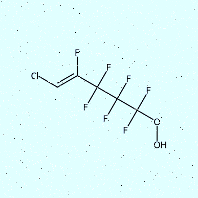 OOC(F)(F)C(F)(F)C(F)(F)C(F)=CCl